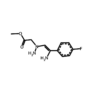 COC(=O)CN(N)/C=C(\N)c1ccc(F)cc1